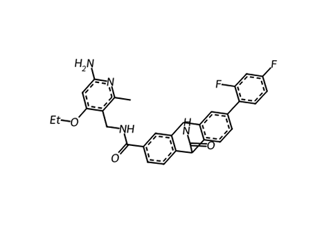 CCOc1cc(N)nc(C)c1CNC(=O)c1ccc2c(c1)C1NC(=O)C2c2ccc(-c3ccc(F)cc3F)cc21